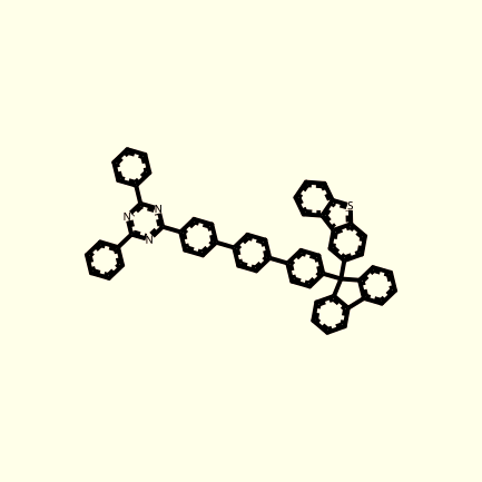 c1ccc(-c2nc(-c3ccccc3)nc(-c3ccc(-c4ccc(-c5ccc(C6(c7ccc8sc9ccccc9c8c7)c7ccccc7-c7ccccc76)cc5)cc4)cc3)n2)cc1